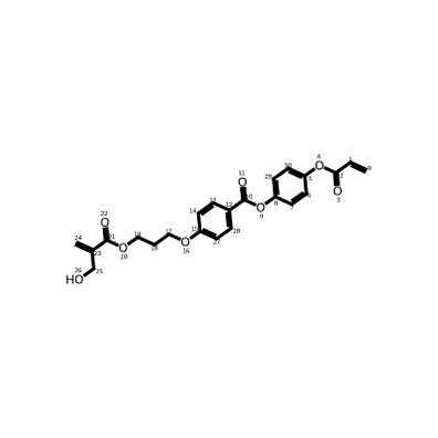 C=CC(=O)Oc1ccc(OC(=O)c2ccc(OCCCOC(=O)C(=C)CO)cc2)cc1